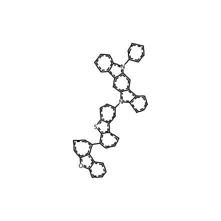 c1ccc(-n2c3ccccc3c3cc4c(cc32)c2ccccc2n4-c2ccc3sc4c(-c5cccc6oc7ccccc7c56)cccc4c3c2)cc1